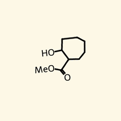 COC(=O)C1CCCCCC1O